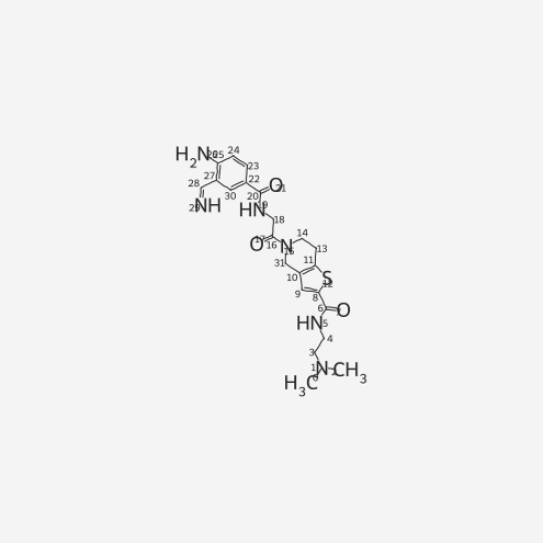 CN(C)CCNC(=O)c1cc2c(s1)CCN(C(=O)CNC(=O)c1ccc(N)c(C=N)c1)C2